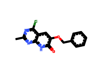 Cc1nc(Cl)c2cc(OCc3ccccc3)c(=O)[nH]c2n1